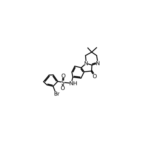 CC1(C)CN=C2C(=O)c3cc(NS(=O)(=O)c4ccccc4Br)ccc3N2C1